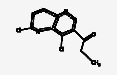 CCC(=O)c1cnc2ccc(Cl)nc2c1Cl